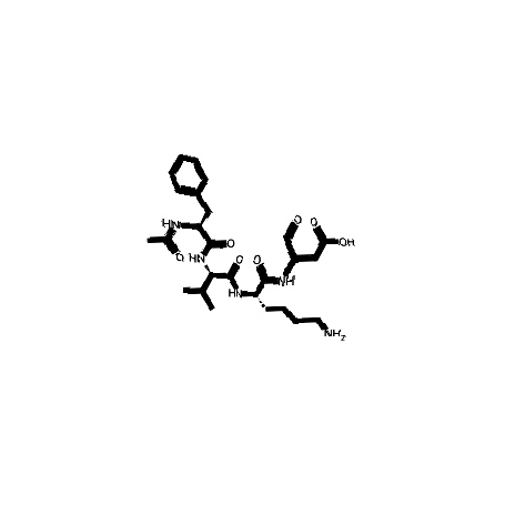 CC(=O)N[C@@H](Cc1ccccc1)C(=O)N[C@H](C(=O)N[C@@H](CCCCN)C(=O)NC(C=O)CC(=O)O)C(C)C